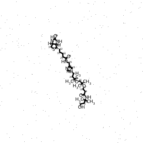 CC(C)(CCO)NC(=O)CCOC(C)(C)COC(C)(C)CCn1cc(CNC(=O)CCCC[C@@H]2SC[C@@H]3NC(=O)N[C@@H]32)nn1